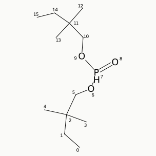 CCC(C)(C)CO[PH](=O)OCC(C)(C)CC